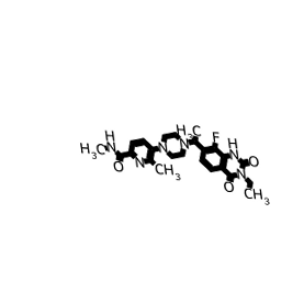 CCn1c(=O)[nH]c2c(F)c(C(C)N3CCN(c4ccc(C(=O)NC)nc4C)CC3)ccc2c1=O